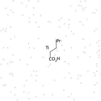 C[C](C)CCC(=O)O.[Ti]